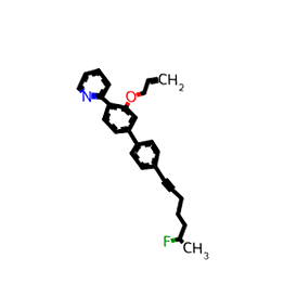 C=CCOc1cc(-c2ccc(C#CCCCC(C)F)cc2)ccc1-c1ccccn1